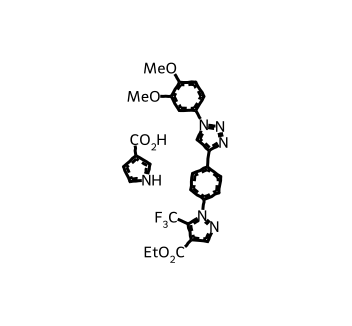 CCOC(=O)c1cnn(-c2ccc(-c3cn(-c4ccc(OC)c(OC)c4)nn3)cc2)c1C(F)(F)F.O=C(O)c1cc[nH]c1